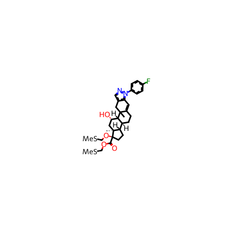 CSCOC(=O)[C@@]1(OCSC)CC[C@H]2[C@@H]3CCC4=Cc5c(cnn5-c5ccc(F)cc5)CC4(C)[C@H]3[C@@H](O)C[C@@]21C